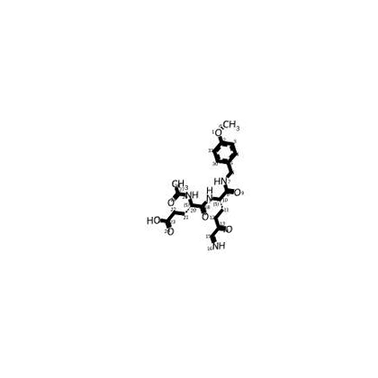 COc1ccc(CNC(=O)[C@H](CCC(=O)C=N)NC(=O)[C@H](CCC(=O)O)NC(C)=O)cc1